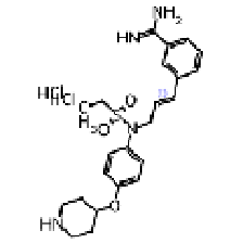 CCS(=O)(=O)N(C/C=C/c1cccc(C(=N)N)c1)c1ccc(OC2CCNCC2)cc1.Cl.Cl